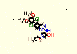 C=CC(=O)N1C[C@@H](O)[C@@H](Nc2ncc3cc(-c4c(Cl)c(OC)cc(OC)c4Cl)ccc3n2)C1